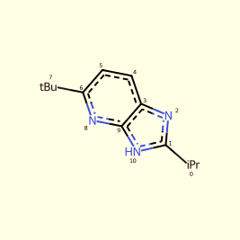 CC(C)c1nc2ccc(C(C)(C)C)nc2[nH]1